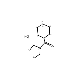 CCN(CC)C(=O)C1CCNCC1.Cl